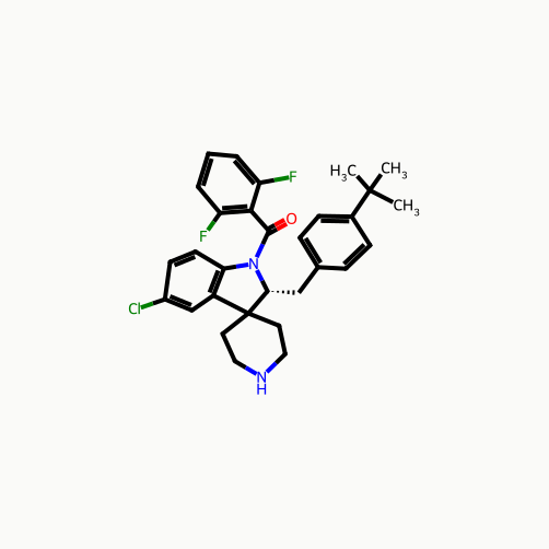 CC(C)(C)c1ccc(C[C@H]2N(C(=O)c3c(F)cccc3F)c3ccc(Cl)cc3C23CCNCC3)cc1